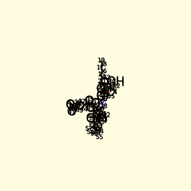 C=C(C)[C@@H]1CCC(C)=C[C@H]1c1c(O)cc(CCCCC)cc1OC(=S)OC/C=C/C1=C(C(=O)OC(=O)c2ccc([N+](=O)[O-])cc2)N2C(=O)[C@](C)(C(C)O[Si](CC)(CC)CC)[C@H]2[C@H]1C